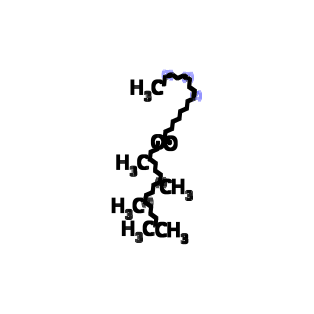 CC/C=C\C/C=C\C/C=C\CCCCCCCC(=O)OCCC(C)CCC[C@H](C)CCC[C@H](C)CCCC(C)C